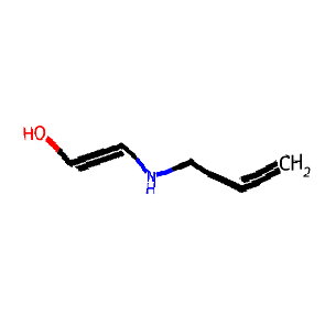 C=CCNC=CO